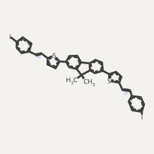 CC1(C)c2cc(-c3ccc(/C=C/c4ccc(I)cc4)s3)ccc2-c2ccc(-c3ccc(/C=C/c4ccc(I)cc4)s3)cc21